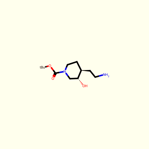 CC(C)(C)OC(=O)N1CC[C@@H](CCN)[C@H](O)C1